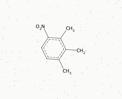 [CH2]c1c(C)ccc([N+](=O)[O-])c1C